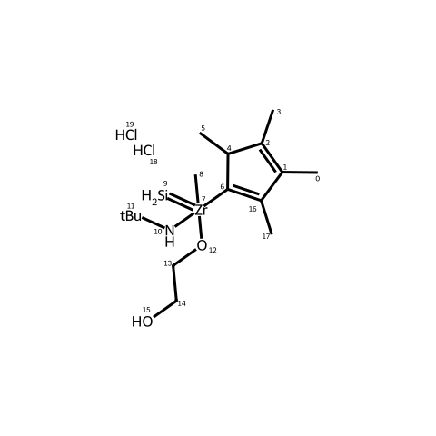 CC1=C(C)C(C)[C]([Zr]([CH3])(=[SiH2])([NH]C(C)(C)C)[O]CCO)=C1C.Cl.Cl